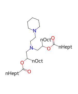 CCCCCCCCC(CN(CCN1CCCCC1)CC(CCCCCCCC)OC(=O)CCCCCCC)OC(=O)CCCCCCC